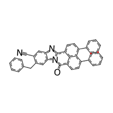 N#Cc1cc2nc3c4ccc(-c5ccccc5)c5c(-c6ccccc6)ccc(c(=O)n3c2cc1Cc1ccccc1)c54